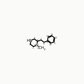 CN1CCNCC1CCc1ccccc1